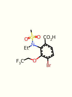 CCN(c1c(C(=O)O)ccc(Br)c1OCC(F)(F)F)S(C)(=O)=O